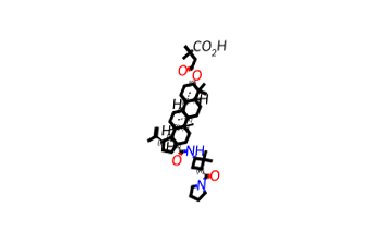 C=C(C)[C@@H]1CC[C@]2(C(=O)NC3C[C@@H](C(=O)N4CCCC4)C3(C)C)CC[C@]3(C)[C@H](CC[C@@H]4[C@@]5(C)CC[C@H](OC(=O)CC(C)(C)C(=O)O)C(C)(C)[C@@H]5CC[C@]43C)[C@@H]12